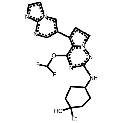 CCC1(O)CCC(Nc2nc(OC(F)F)c3c(-c4cnc5nccn5c4)ccn3n2)CC1